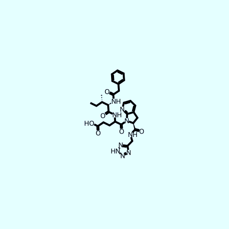 CC[C@H](C)[C@H](NC(=O)Cc1ccccc1)C(=O)NC(CCC(=O)O)C(=O)N1c2ncccc2C[C@H]1C(=O)NCc1nn[nH]n1